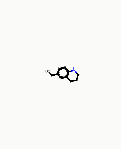 CCOC(=O)Cc1ccc2c(c1)CCCN2